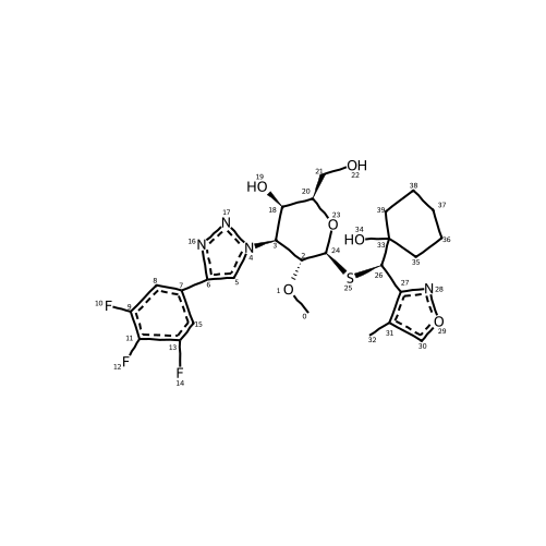 CO[C@@H]1[C@@H](n2cc(-c3cc(F)c(F)c(F)c3)nn2)[C@@H](O)[C@@H](CO)O[C@H]1S[C@H](c1nocc1C)C1(O)CCCCC1